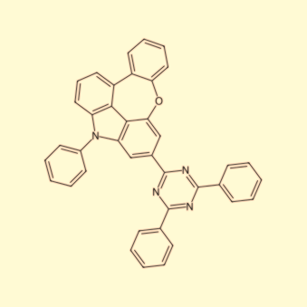 c1ccc(-c2nc(-c3ccccc3)nc(-c3cc4oc5ccccc5c5cccc6c5c4c(c3)n6-c3ccccc3)n2)cc1